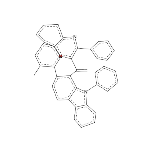 C=C(c1nc2ccccc2nc1-c1ccccc1)c1c(-c2ccccc2C)ccc2c3ccccc3n(-c3ccccc3)c12